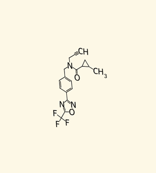 C#CCN(Cc1ccc(-c2noc(C(F)(F)F)n2)cc1)C(=O)C1CC1C